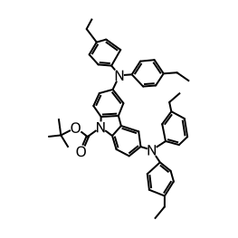 CCc1ccc(N(c2ccc(CC)cc2)c2ccc3c(c2)c2cc(N(c4ccc(CC)cc4)c4cccc(CC)c4)ccc2n3C(=O)OC(C)(C)C)cc1